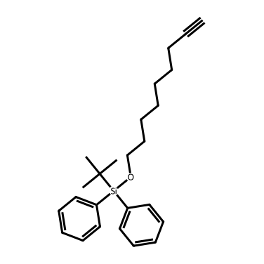 C#CCCCCCCCO[Si](c1ccccc1)(c1ccccc1)C(C)(C)C